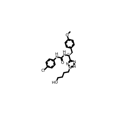 COc1ccc(C[C@H](NC(=O)Nc2ccc(Cl)cc2)c2nnn(CCCCO)n2)cc1